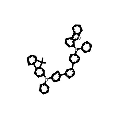 CC1(C)c2ccccc2-c2ccc(N(c3ccccc3)c3ccc(-c4cccc(-c5ccc(N(c6ccccc6)c6cccc7c6oc6ccccc67)cc5)c4)cc3)cc21